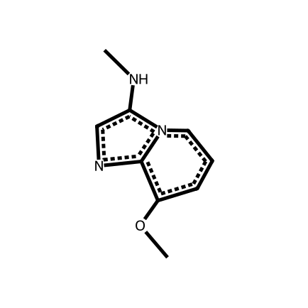 CNc1cnc2c(OC)cccn12